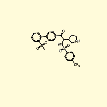 CS(=O)(=O)c1ccccc1-c1ccc(C(=O)C(NS(=O)(=O)c2ccc(C(F)(F)F)cc2)C2CCNC2)cc1